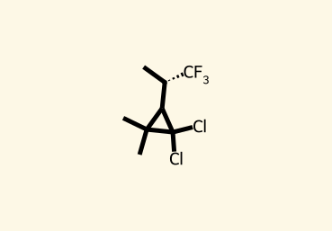 C[C@@H](C1C(C)(C)C1(Cl)Cl)C(F)(F)F